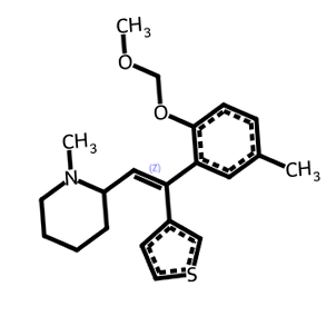 COCOc1ccc(C)cc1/C(=C/C1CCCCN1C)c1ccsc1